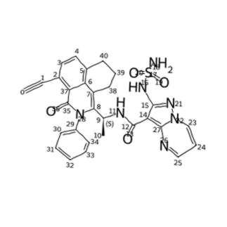 C#Cc1ccc2c3c(c([C@H](C)NC(=O)c4c(NS(N)(=O)=O)nn5cccnc45)n(-c4ccccc4)c(=O)c13)CCC2